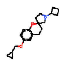 c1cc2c(cc1OCC1CC1)CCC1(CCN(C3CCC3)C1)O2